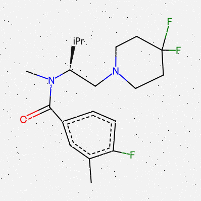 Cc1cc(C(=O)N(C)[C@H](CN2CCC(F)(F)CC2)C(C)C)ccc1F